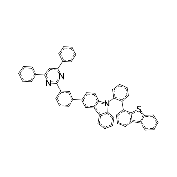 c1ccc(-c2cc(-c3ccccc3)nc(-c3cccc(-c4ccc5c(c4)c4ccccc4n5-c4ccccc4-c4cccc5c4sc4ccccc45)c3)n2)cc1